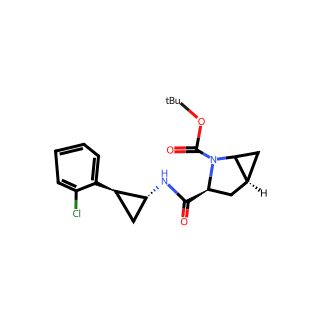 CC(C)(C)OC(=O)N1C2C[C@H]2C[C@H]1C(=O)N[C@@H]1C[C@H]1c1ccccc1Cl